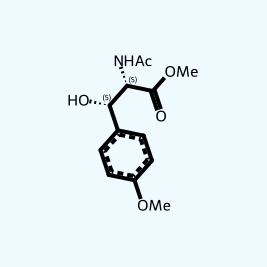 COC(=O)[C@@H](NC(C)=O)[C@@H](O)c1ccc(OC)cc1